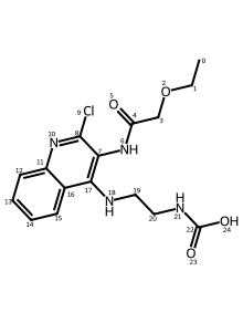 CCOCC(=O)Nc1c(Cl)nc2ccccc2c1NCCNC(=O)O